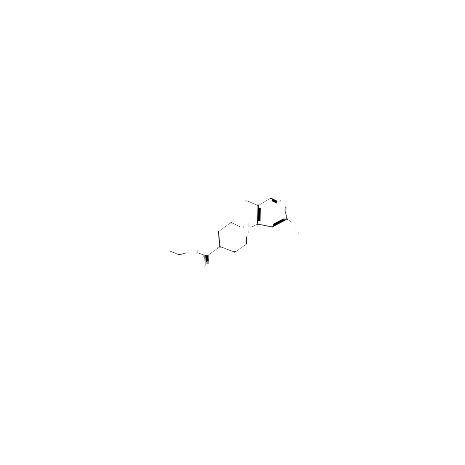 CCOC(=O)C1CCN(c2cc(OC)ncc2I)CC1